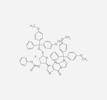 COc1ccc(C(OC[C@H]2O[C@@H](n3cnc4c(=O)n5ccn(C(c6ccccc6)(c6ccc(OC)cc6)c6ccc(OC)cc6)c5nc43)[C@H](O[PH](=O)Oc3ccccc3)[C@@H]2F)(c2ccccc2)c2ccc(OC)cc2)cc1